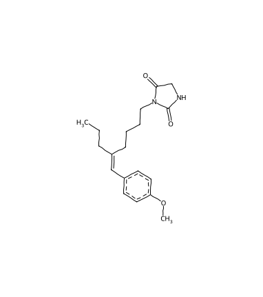 CCCC(=Cc1ccc(OC)cc1)CCCCN1C(=O)CNC1=O